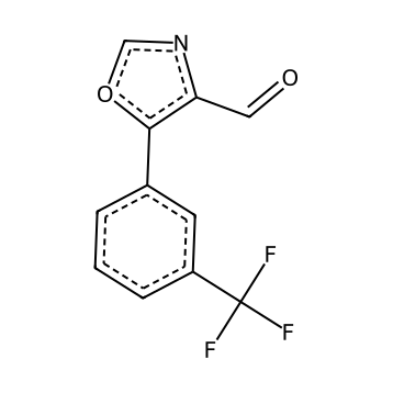 O=Cc1ncoc1-c1cccc(C(F)(F)F)c1